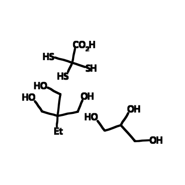 CCC(CO)(CO)CO.O=C(O)C(S)(S)S.OCC(O)CO